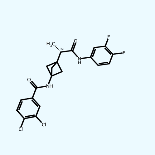 C[C@H](C(=O)Nc1ccc(F)c(F)c1)C12CC(NC(=O)c3ccc(Cl)c(Cl)c3)(C1)C2